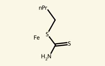 CCCCSC(N)=S.[Fe]